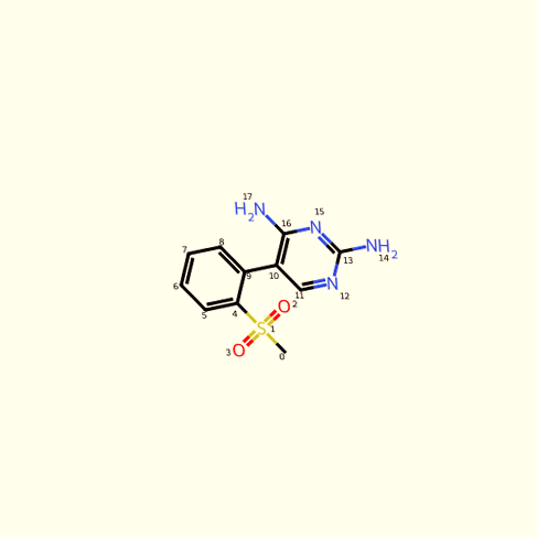 CS(=O)(=O)c1ccccc1-c1cnc(N)nc1N